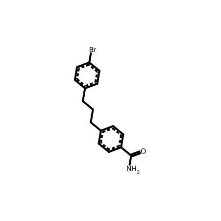 NC(=O)c1ccc(CCCc2ccc(Br)cc2)cc1